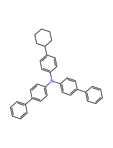 c1ccc(-c2ccc(N(c3ccc(-c4ccccc4)cc3)c3ccc(C4CCCCC4)cc3)cc2)cc1